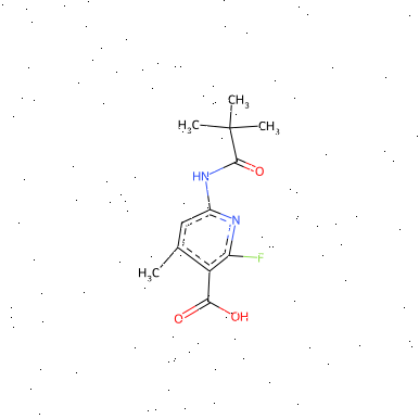 Cc1cc(NC(=O)C(C)(C)C)nc(F)c1C(=O)O